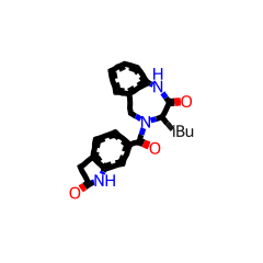 CCC(C)C1C(=O)Nc2ccccc2CN1C(=O)c1ccc2c(c1)NC(=O)C2